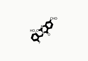 O=[C]c1ccc2c(=O)n(Cc3ccccc3F)c(C(=O)O)nc2c1